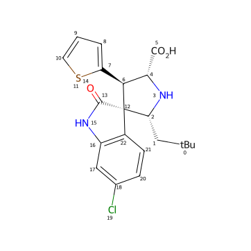 CC(C)(C)C[C@H]1N[C@@H](C(=O)O)[C@H](c2cccs2)[C@@]12C(=O)Nc1cc(Cl)ccc12